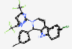 Cc1ccc(C2c3[nH]c4ccc(Cl)cc4c3CCN2c2nc(C(F)(F)F)cc(C(F)(F)F)n2)cc1